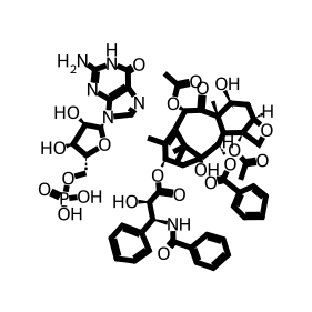 CC(=O)O[C@H]1C(=O)[C@@]2(C)[C@H]([C@H](OC(=O)c3ccccc3)[C@]3(O)C[C@H](OC(=O)[C@H](O)[C@@H](NC(=O)c4ccccc4)c4ccccc4)C(C)=C1C3(C)C)[C@]1(OC(C)=O)CO[C@@H]1C[C@@H]2O.Nc1nc2c(ncn2[C@@H]2O[C@H](COP(=O)(O)O)[C@@H](O)[C@H]2O)c(=O)[nH]1